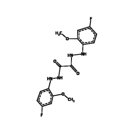 COc1cc(F)ccc1NNC(=O)C(=O)NNc1ccc(F)cc1OC